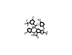 COc1ccc(Cn2c(N(C)C)nc3c4c(c(NC(=O)c5cc(F)cc(C(F)(F)F)c5)cc32)C(c2cc(F)ccc2Cl)NC4=O)cc1